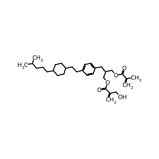 C=C(C)C(=O)OCC(COC(=O)C(=C)CO)Cc1ccc(CCC2CCC(CCCC(C)C)CC2)cc1